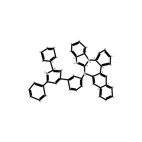 c1ccc(-c2cc(-c3cccc(N4c5cc6ccccc6cc5-c5ccccc5-n5c4nc4ccccc45)c3)cc(-c3ccccc3)n2)cc1